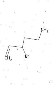 C=CC(Br)CCC